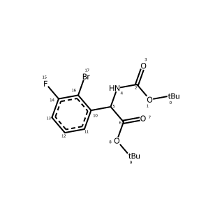 CC(C)(C)OC(=O)NC(C(=O)OC(C)(C)C)c1cccc(F)c1Br